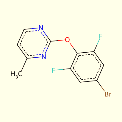 Cc1ccnc(Oc2c(F)cc(Br)cc2F)n1